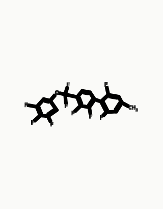 Cc1cc(F)c(-c2ccc(C(F)(F)Oc3cc(F)c(F)c(F)c3)c(F)c2F)c(F)c1